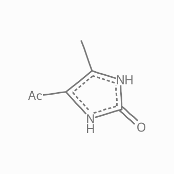 CC(=O)c1[nH]c(=O)[nH]c1C